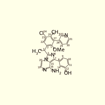 COc1c(C(C)c2nc(-c3cccc(O)c3)c3c(N)nccn23)cc(Cl)c(C)c1-c1cccnc1